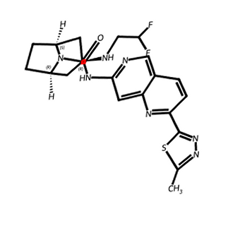 Cc1nnc(-c2ccc3cnc(NC(=O)N4[C@@H]5CC[C@H]4C[C@@H](NCC(F)F)C5)cc3n2)s1